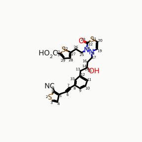 N#Cc1sccc1C#Cc1cccc(C[C@H](O)CCN2C=CSC(=O)N2CCc2ccc(C(=O)O)s2)c1